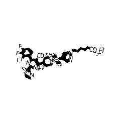 CCOC(=O)CCCCCn1cc(S(=O)(=O)N2CCC(C3=C(C(=O)OCC)C(c4ccc(F)c(F)c4Cl)N=C(c4nccs4)N3)CC2)cn1